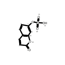 O=c1ccc2ccc(OS(=O)(=O)O)cc2o1